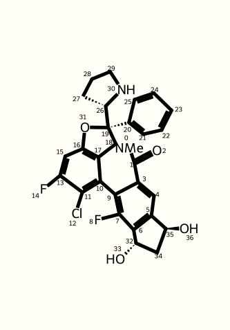 CNC(=O)c1cc2c(c(F)c1-c1c(Cl)c(F)cc3c1C[C@](c1ccccc1)([C@@H]1CCCN1)O3)[C@@H](O)C[C@@H]2O